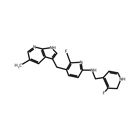 Cc1cnc2[nH]cc(Cc3ccc(NCC4=C(F)CNC=C4)nc3F)c2c1